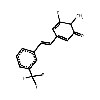 CC1C(=O)C=C(/C=C/c2cccc(C(F)(F)F)c2)C=C1F